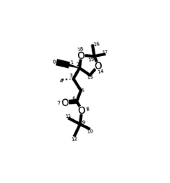 C#C[C@]1([C@@H](C)CC(=O)OC(C)(C)C)COC(C)(C)O1